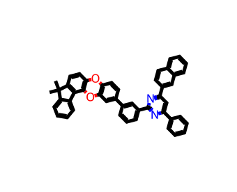 CC1(C)c2ccccc2-c2c1ccc1c2Oc2cc(-c3cccc(-c4nc(-c5ccccc5)cc(-c5ccc6ccccc6c5)n4)c3)ccc2O1